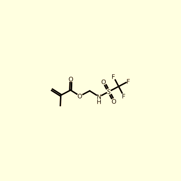 C=C(C)C(=O)OCNS(=O)(=O)C(F)(F)F